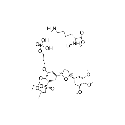 CCCOc1c(OCCCOP(=O)(O)O)cc([C@@H]2CC[C@@H](c3cc(OC)c(OC)c(OC)c3)O2)cc1S(=O)(=O)CC(C)=O.NCCCCC(N)C(=O)[O-].[Li+]